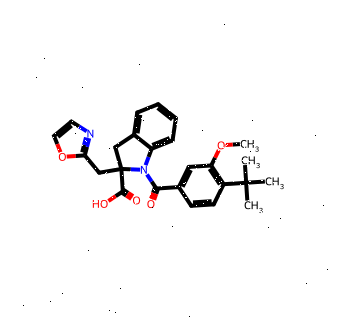 COc1cc(C(=O)N2c3ccccc3CC2(Cc2ncco2)C(=O)O)ccc1C(C)(C)C